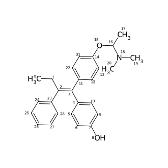 CCC(=C(c1ccc(O)cc1)c1ccc(OC(C)N(C)C)cc1)c1ccccc1